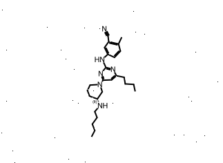 CCCCCN[C@@H]1CCCN(c2cc(CCCC)nc(Nc3ccc(C)c(C#N)c3)n2)C1